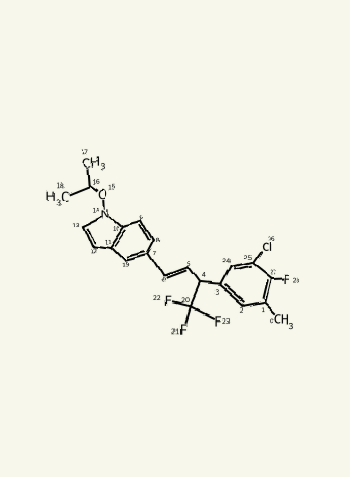 Cc1cc(C(/C=C/c2ccc3c(ccn3OC(C)C)c2)C(F)(F)F)cc(Cl)c1F